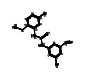 COc1cc(Br)cc(NC(=O)Nc2cc(Br)ccc2CO)c1